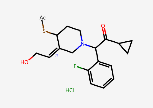 CC(=O)SC1CCN(C(C(=O)C2CC2)c2ccccc2F)C/C1=C/CO.Cl